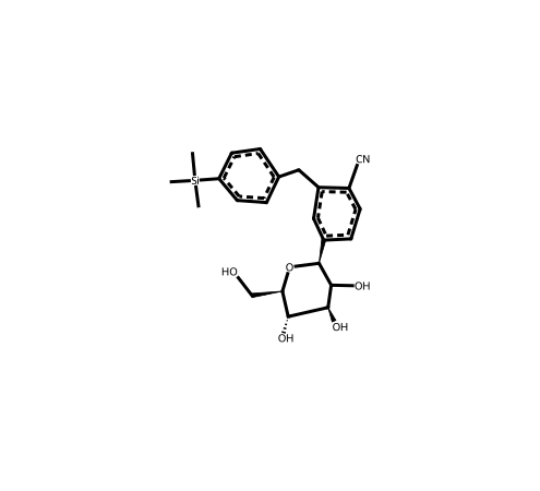 C[Si](C)(C)c1ccc(Cc2cc([C@@H]3O[C@H](CO)[C@@H](O)[C@H](O)C3O)ccc2C#N)cc1